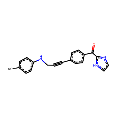 N#Cc1ccc(NCC#Cc2ccc(C(=O)c3ncc[nH]3)cc2)cc1